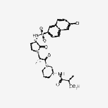 CC(C(=O)O)C(=O)N[C@@H]1CCCN(C(=O)[C@H](C)N2CC[C@H](NS(=O)(=O)c3ccc4cc(Cl)ccc4c3)C2=O)C1